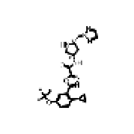 O=C(N[C@H]1CN[C@H](Cn2nccn2)C1)c1nnc(-c2cc(OC(F)(F)F)ccc2C2CC2)o1